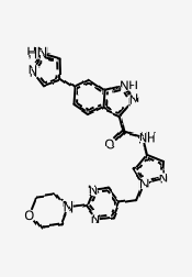 O=C(Nc1cnn(Cc2cnc(N3CCOCC3)nc2)c1)c1n[nH]c2cc(-c3cn[nH]c3)ccc12